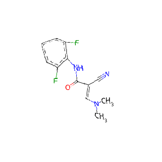 CN(C)C=C(C#N)C(=O)Nc1c(F)cccc1F